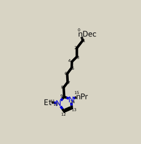 CCCCCCCCCCCCCCCCCCC1N(CC)C=CN1CCC